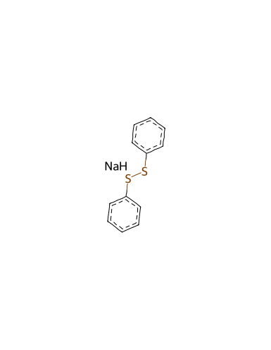 [NaH].c1ccc(SSc2ccccc2)cc1